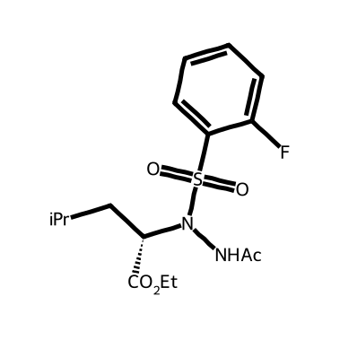 CCOC(=O)[C@H](CC(C)C)N(NC(C)=O)S(=O)(=O)c1ccccc1F